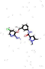 Cc1cc(C(=O)Nc2cccc([C@@H](C)Oc3cc(Cl)cnc3N)c2)nn1C